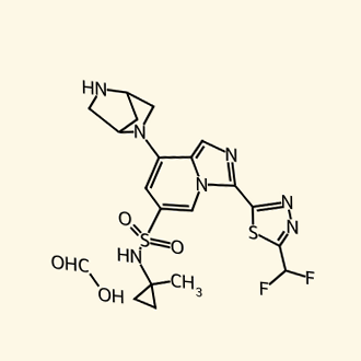 CC1(NS(=O)(=O)c2cc(N3CC4CC3CN4)c3cnc(-c4nnc(C(F)F)s4)n3c2)CC1.O=CO